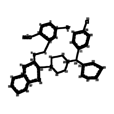 COc1ccc(Br)cc1CSc1nc2ccccc2nc1N1CCN(C(c2ccccc2)c2ccc(Cl)cc2)CC1